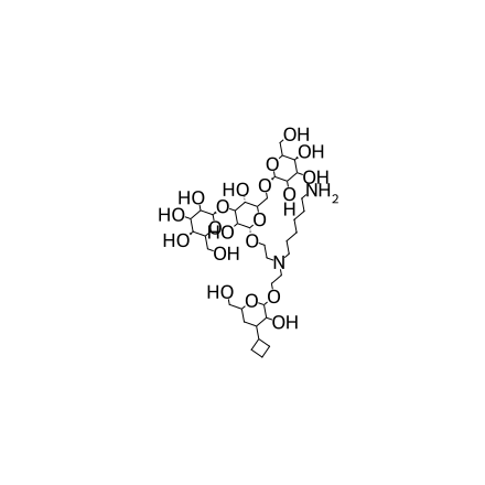 NCCCCCCN(CCOC1OC(CO)CC(C2CCC2)C1O)CCO[C@H]1OC(CO[C@H]2OC(CO)[C@@H](O)C(O)C2O)[C@@H](O)C(O[C@H]2OC(CO)[C@@H](O)C(O)C2O)C1O